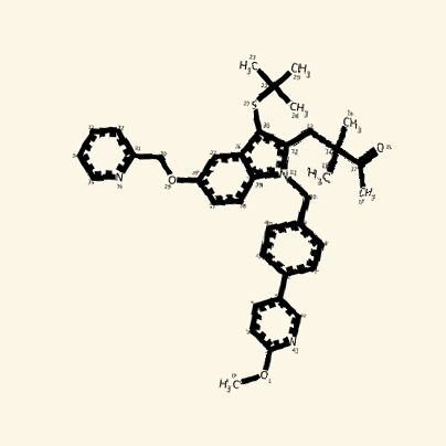 COc1ccc(-c2ccc(Cn3c(CC(C)(C)C(C)=O)c(SC(C)(C)C)c4cc(OCc5ccccn5)ccc43)cc2)cn1